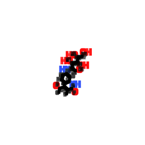 CC(=O)c1c(C)c(=O)[nH]c2cc(N[C@H](C=O)[C@H](O)[C@@H](O)[C@@H](O)CO)ccc12